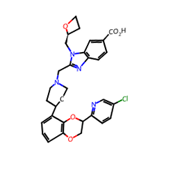 O=C(O)c1ccc2nc(CN3CCC(c4cccc5c4OC(c4ccc(Cl)cn4)CO5)CC3)n(C[C@@H]3CCO3)c2c1